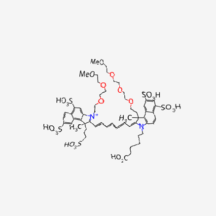 COCCOCCOCCOCCC1(C)\C(=C/C=C/C=C/C=C/C2=[N+](CCOCCOCCOC)c3cc(S(=O)(=O)O)c4ccc(S(=O)(=O)O)cc4c3C2(C)CCCS(=O)(=O)O)N(CCCCCC(=O)O)c2ccc3c(S(=O)(=O)O)cc(S(=O)(=O)O)cc3c21